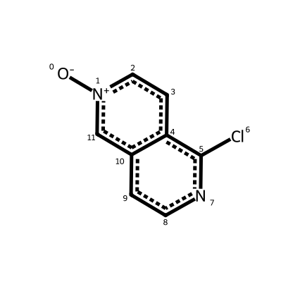 [O-][n+]1ccc2c(Cl)nccc2c1